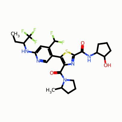 CCC(Nc1cc(C(F)F)c(-c2sc(C(=O)NC3CCCC3O)nc2C(=O)N2CCCC2C)cn1)C(F)(F)F